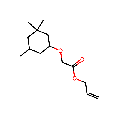 C=CCOC(=O)COC1CC(C)CC(C)(C)C1